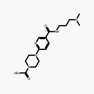 CCCCC(=O)N1CCN(c2ccc(C(=O)NCCCN(C)C)cn2)CC1